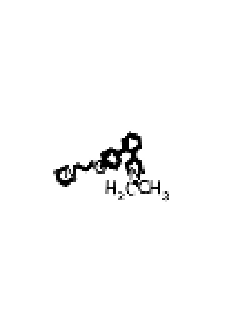 CC(C)N1CCC(c2ccccc2-c2ccc(OCCCN3CCCCC3)cc2)CC1